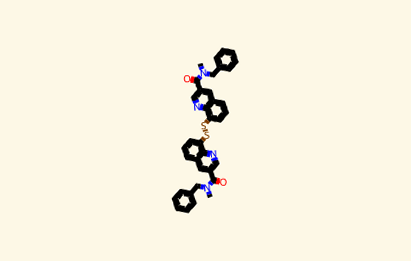 CN(Cc1ccccc1)C(=O)c1cnc2c(SSc3cccc4cc(C(=O)N(C)Cc5ccccc5)cnc34)cccc2c1